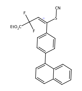 CCOC(=O)C(F)(F)/C=C(/SC#N)c1ccc(-c2cccc3ccccc23)cc1